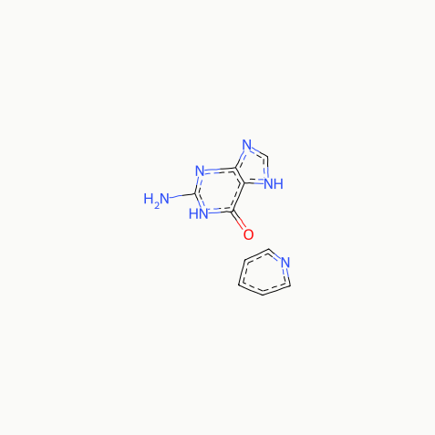 Nc1nc2nc[nH]c2c(=O)[nH]1.c1ccncc1